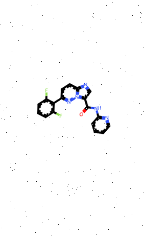 O=C(Nc1ccccn1)c1cnc2ccc(-c3c(F)cccc3F)nn12